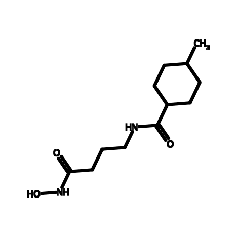 CC1CCC(C(=O)NCCCC(=O)NO)CC1